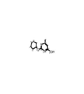 Cc1cc(O)nc(OC2CCCCC2)n1